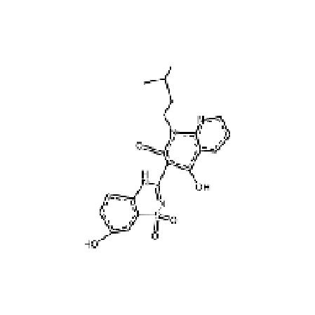 CC(C)CCn1c(=O)c(C2=NS(=O)(=O)c3cc(O)ccc3N2)c(O)c2cccnc21